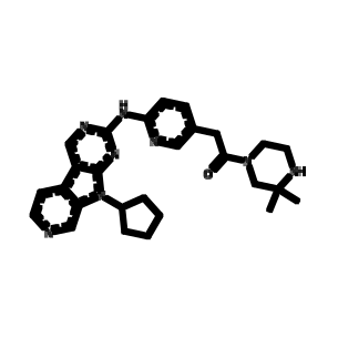 CC1(C)CN(C(=O)Cc2ccc(Nc3ncc4c5ccncc5n(C5CCCC5)c4n3)nc2)CCN1